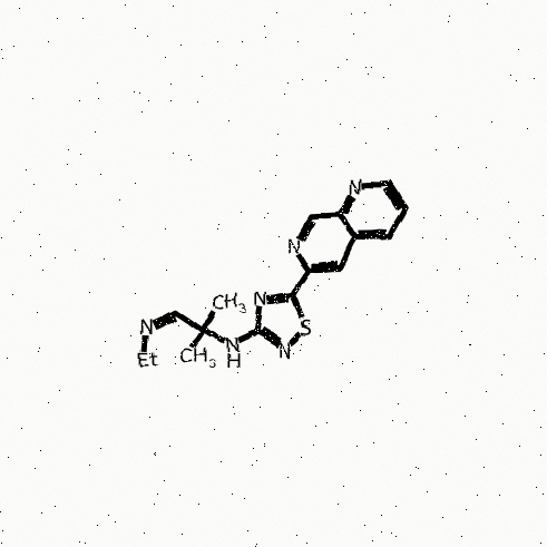 CC/N=C\C(C)(C)Nc1nsc(-c2cc3cccnc3cn2)n1